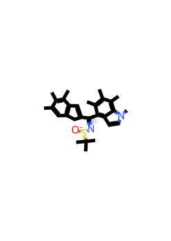 Cc1cc2c(c(C)c1C)C=C(/C(=N\[S+]([O-])C(C)(C)C)c1c(C)c(C)c(C)c3c1ccn3C)C2